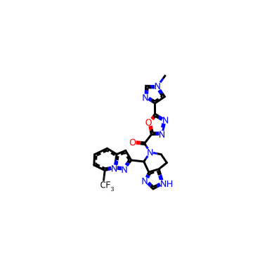 Cn1cnc(-c2nnc(C(=O)N3CCc4[nH]cnc4C3c3cc4cccc(C(F)(F)F)n4n3)o2)c1